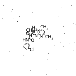 CON(C(=O)Nc1cccc(Cl)c1)C(N)=Nc1nc(C)cc(C)n1